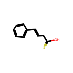 OC(=S)CC=Cc1ccccc1